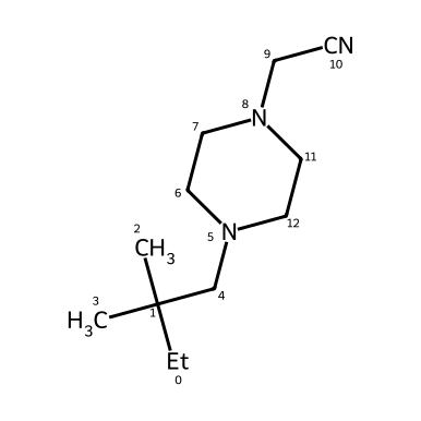 CCC(C)(C)CN1CCN(CC#N)CC1